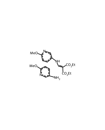 CCOC(=O)C(=CNc1ccc(OC)nc1)C(=O)OCC.COc1ccc(N)cn1